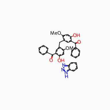 COc1cc(O)c(C(=O)c2ccccc2)cc1Cc1cc(C(=O)c2ccccc2)c(O)cc1OC.c1ccc2[nH]nnc2c1